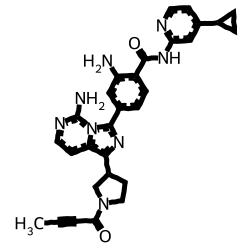 CC#CC(=O)N1CCC(c2nc(-c3ccc(C(=O)Nc4cc(C5CC5)ccn4)c(N)c3)n3c(N)nccc23)C1